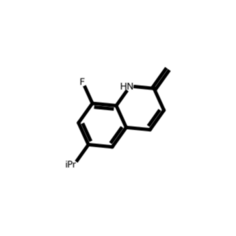 C=C1C=Cc2cc(C(C)C)cc(F)c2N1